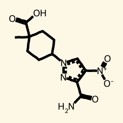 CC1(C(=O)O)CCC(n2cc([N+](=O)[O-])c(C(N)=O)n2)CC1